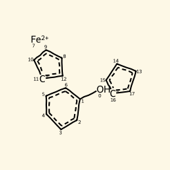 Oc1ccccc1.[Fe+2].c1cc[cH-]c1.c1cc[cH-]c1